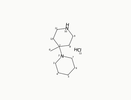 CC1(N2CCCCC2)CCNCC1.Cl